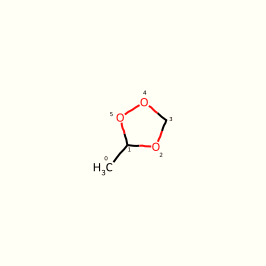 CC1OCOO1